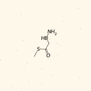 CSC(=O)CBN